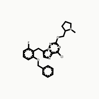 CN1CCCC1COc1nc(Cl)c2ncc(Cc3c(F)cccc3OCc3ccccc3)n2n1